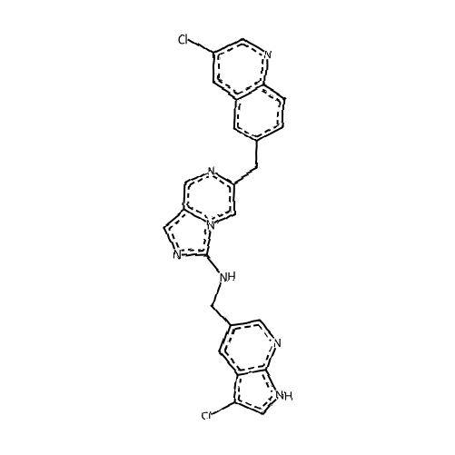 Clc1cnc2ccc(Cc3cn4c(NCc5cnc6[nH]cc(Cl)c6c5)ncc4cn3)cc2c1